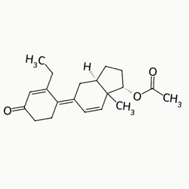 CCC1=CC(=O)CC/C1=C1\C=CC2(C)[C@H](CC[C@@H]2OC(C)=O)C1